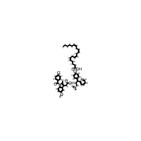 CCCCC/C=C\C/C=C\C/C=C\C/C=C\CCCC(=O)O.CN(C)CCC(c1ccc(Cl)cc1)c1ccccn1.COc1ccc2c(c1)c(CC(=O)O)c(C)n2C(=O)c1ccc(Cl)cc1